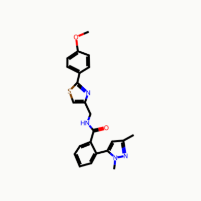 COc1ccc(-c2nc(CNC(=O)c3ccccc3-c3cc(C)nn3C)cs2)cc1